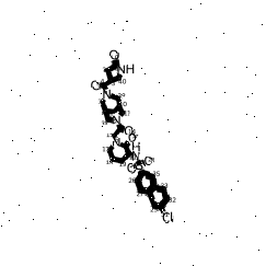 O=C1CC(C(=O)N2CC3CC(CN(C(=O)CN4CCC[C@H](NS(=O)(=O)c5ccc6cc(Cl)ccc6c5)C4=O)C3)C2)CN1